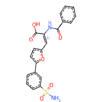 NS(=O)(=O)c1cccc(-c2ccc(/C=C(/NC(=O)c3ccccc3)C(=O)O)o2)c1